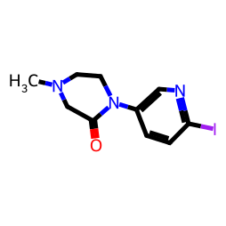 CN1CCN(c2ccc(I)nc2)C(=O)C1